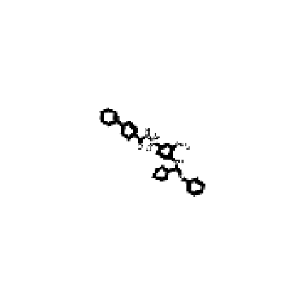 O=C(NS(=O)(=O)c1ccc(NC(CSc2ccccc2)C2CCCCC2)c([N+](=O)[O-])c1)c1ccc(C2=CCCCC2)cc1